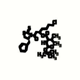 CC(C)C(NC(=O)OC(C)(C)C)C(=O)OC(/C=C/CCCl)CC(=O)N1C(=S)SC[C@H]1Cc1ccccc1